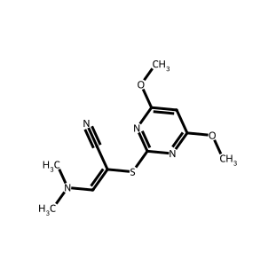 COc1cc(OC)nc(SC(C#N)=CN(C)C)n1